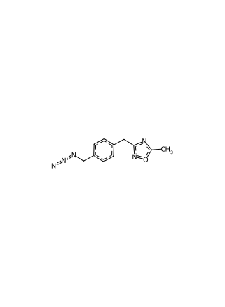 Cc1nc(Cc2ccc(CN=[N+]=[N-])cc2)no1